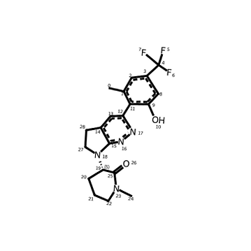 Cc1cc(C(F)(F)F)cc(O)c1-c1cc2c(nn1)N([C@H]1CCCN(C)C1=O)CC2